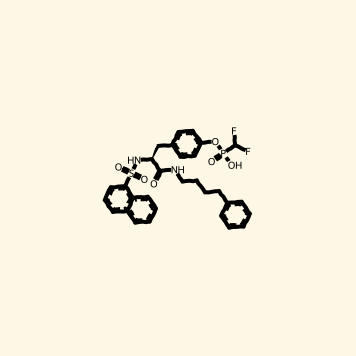 O=C(NCCCCc1ccccc1)[C@H](Cc1ccc(OP(=O)(O)C(F)F)cc1)NS(=O)(=O)c1cccc2ccccc12